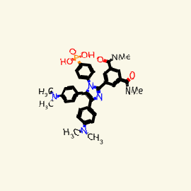 CNC(=O)c1cc(C(=O)NC)cc(-c2nc(-c3ccc(N(C)C)cc3)c(-c3ccc(N(C)C)cc3)n2-c2ccc(P(=O)(O)O)cc2)c1